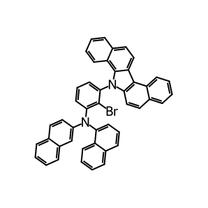 Brc1c(N(c2ccc3ccccc3c2)c2cccc3ccccc23)cccc1-n1c2ccc3ccccc3c2c2ccc3ccccc3c21